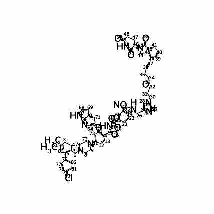 CC1(C)CCC(CN2CCN(c3ccc(C(=O)NS(=O)(=O)c4ccc(NCc5cn(CCCOCCC#Cc6cccc7c6CN(C6CCC(=O)NC6=O)C7=O)nn5)c([N+](=O)[O-])c4)c(Oc4cnc5[nH]ccc5c4)c3)CC2)=C(c2ccc(Cl)cc2)C1